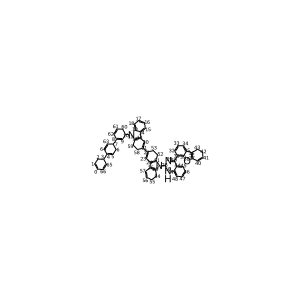 C1=CCC(C2=CCC(C3=CC(n4c5c(c6ccccc64)C=C(C4=Cc6c7c(n(C8N=C(c9cccc%10c%11c(oc9%10)C=CCC%11)c9ccccc9N8)c6CC4)CCC=C7)CC5)CC=C3)C=C2)C=C1